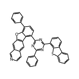 c1ccc(-c2nc(-c3cccc4c3sc3ccccc34)nc(-c3ccc(-c4ccccc4)c4oc5cc6cnccc6cc5c34)n2)cc1